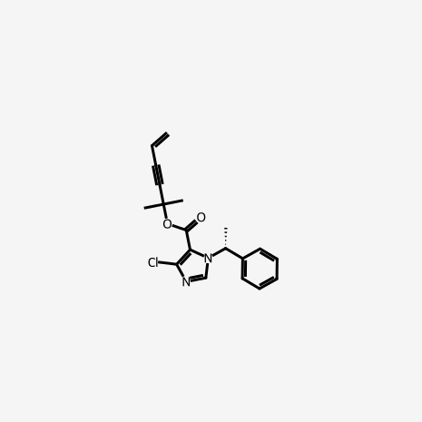 C=CC#CC(C)(C)OC(=O)c1c(Cl)ncn1[C@H](C)c1ccccc1